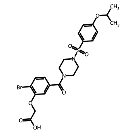 CC(C)Oc1ccc(S(=O)(=O)N2CCN(C(=O)c3ccc(Br)c(OCC(=O)O)c3)CC2)cc1